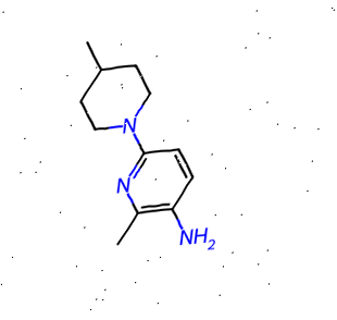 Cc1nc(N2CCC(C)CC2)ccc1N